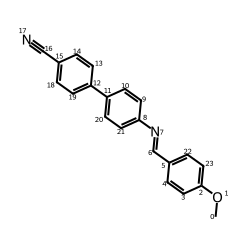 COc1ccc(C=Nc2ccc(-c3ccc(C#N)cc3)cc2)cc1